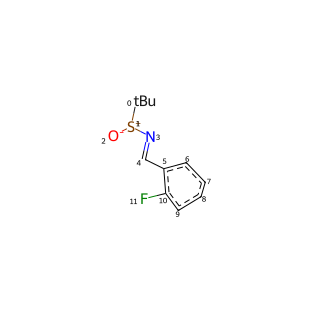 CC(C)(C)[S+]([O-])N=Cc1ccccc1F